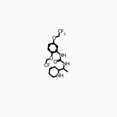 CC(NC(=O)Nc1cc(OCC(F)(F)F)ccc1OCC(F)(F)F)C1CCCCN1